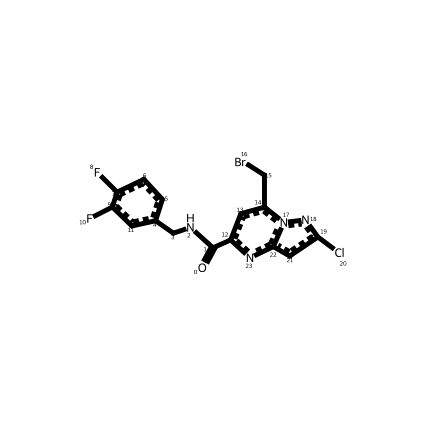 O=C(NCc1ccc(F)c(F)c1)c1cc(CBr)n2nc(Cl)cc2n1